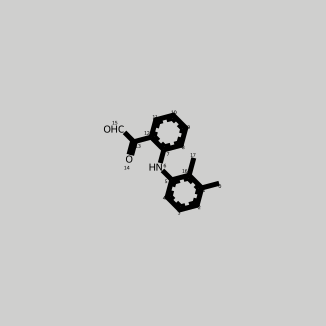 Cc1cccc(Nc2ccccc2C(=O)C=O)c1C